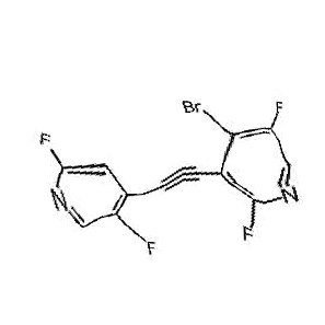 Fc1cc(C#Cc2c(F)ncc(F)c2Br)c(F)cn1